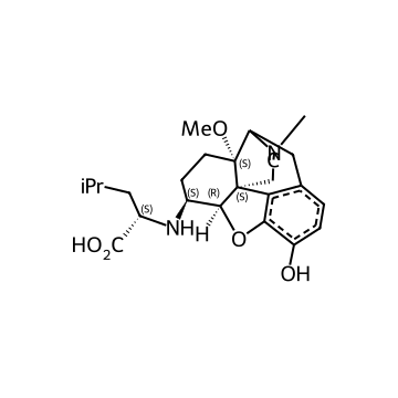 CO[C@@]12CC[C@H](N[C@@H](CC(C)C)C(=O)O)[C@@H]3Oc4c(O)ccc5c4[C@@]31CCN(C)C2C5